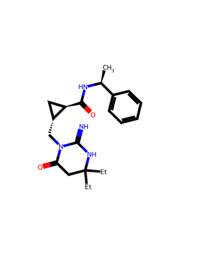 CCC1(CC)CC(=O)N(C[C@@H]2C[C@H]2C(=O)N[C@@H](C)c2ccccc2)C(=N)N1